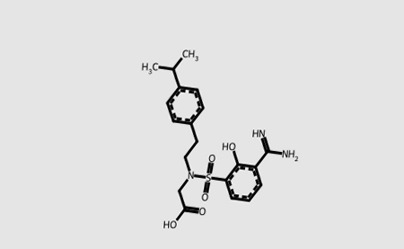 CC(C)c1ccc(CCN(CC(=O)O)S(=O)(=O)c2cccc(C(=N)N)c2O)cc1